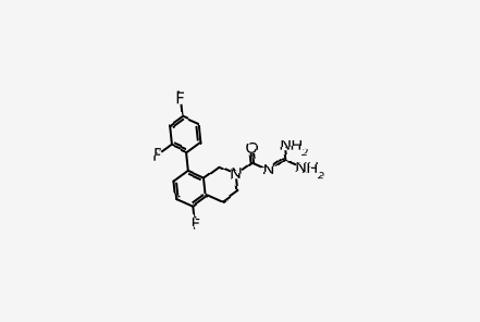 NC(N)=NC(=O)N1CCc2c(F)ccc(-c3ccc(F)cc3F)c2C1